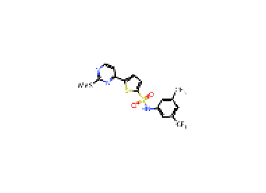 CSc1nccc(-c2ccc(S(=O)(=O)Nc3cc(C(F)(F)F)cc(C(F)(F)F)c3)s2)n1